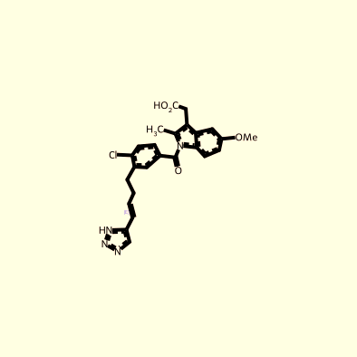 COc1ccc2c(c1)c(CC(=O)O)c(C)n2C(=O)c1ccc(Cl)c(CC/C=C/c2cnn[nH]2)c1